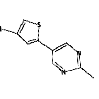 Cc1ncc(-c2cc(I)cs2)cn1